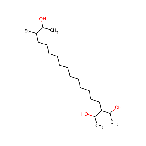 CCC(CCCCCCCCCCCCC(C(C)O)C(C)O)C(C)O